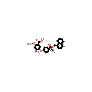 COC(=O)c1cc(O[C@H]2CC[C@@](C)(C(=O)OCc3cccc4ccccc34)CC2)c(P)cc1OC